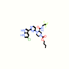 CCCCOC(=O)N1CCN(c2ccnc(C3=CNC4NC=C(Cl)C=C34)n2)[C@@H](C(=O)NCC(F)(F)F)C1